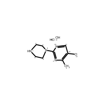 Cc1nc(N2CCNCC2)ncc1Cl.Cl.Cl